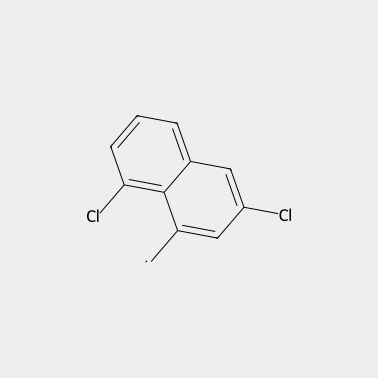 [CH2]c1cc(Cl)cc2cccc(Cl)c12